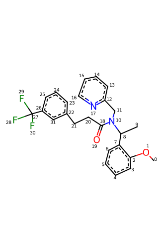 COc1ccccc1C(C)N(Cc1ccccn1)C(=O)CCc1cccc(C(F)(F)F)c1